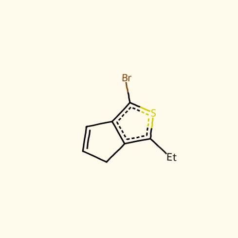 CCc1sc(Br)c2c1CC=C2